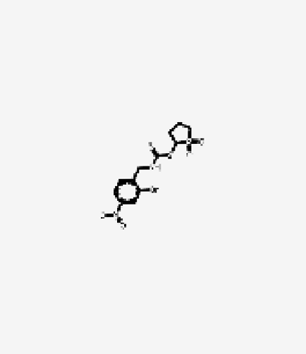 O=[N+]([O-])c1ccc(CNC(=S)SC2CCCS2(=O)=O)c(Br)c1